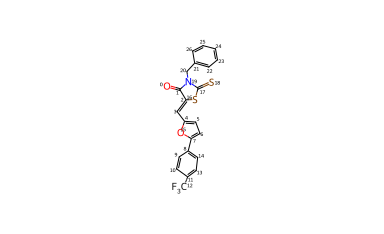 O=C1C(=Cc2ccc(-c3ccc(C(F)(F)F)cc3)o2)SC(=S)N1Cc1ccccc1